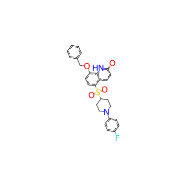 O=c1ccc2c(S(=O)(=O)C3CCN(c4ccc(F)cc4)CC3)ccc(OCc3ccccc3)c2[nH]1